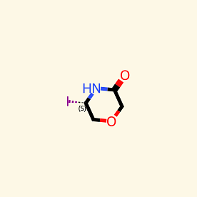 O=C1COC[C@H](I)N1